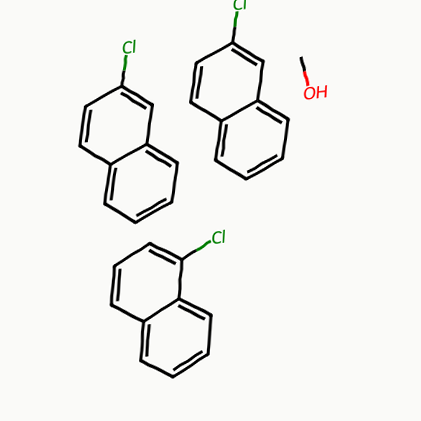 CO.Clc1ccc2ccccc2c1.Clc1ccc2ccccc2c1.Clc1cccc2ccccc12